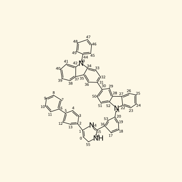 C1=C(c2ccc(-c3ccccc3)cc2)N=C(c2cccc(-n3c4ccccc4c4cc(-c5ccc6c(c5)c5ccccc5n6-c5ccccc5)ccc43)c2)NC1